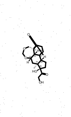 C[C@]12C[C@@H]3OCOC[C@]45CCC(=O)C=C4CC[C@H]([C@H]35)[C@@H]1CC[C@]2(O)C(=O)CO